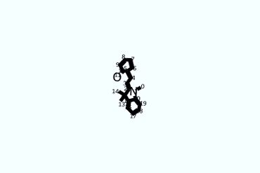 CN1/C(=C\C=C2\C=CC=CC2=O)C(C)(C)c2ccccc21